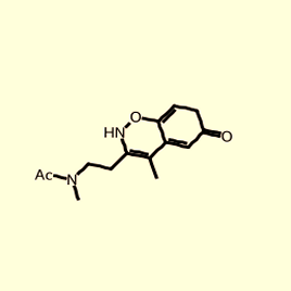 CC(=O)N(C)CCC1=C(C)C2=CC(=O)CC=C2ON1